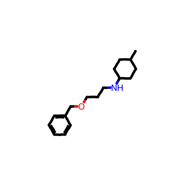 CC1CCC(NCCCOCc2ccccc2)CC1